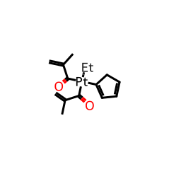 C=C(C)[C](=O)[Pt]([CH2]C)([C](=O)C(=C)C)[C]1=CC=CC1